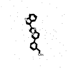 OCc1cccc(-c2ccc3nc(-c4coc5ccccc45)cn3c2)c1